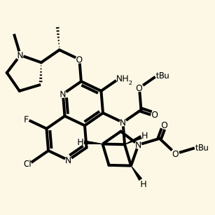 C[C@H](Oc1nc2c(F)c(Cl)ncc2c(N(C(=O)OC(C)(C)C)[C@H]2[C@@H]3C[C@H]2N(C(=O)OC(C)(C)C)C3)c1N)[C@@H]1CCCN1C